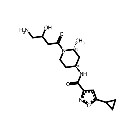 C[C@@H]1C[C@@H](NC(=O)c2cc(C3CC3)on2)CCN1C(=O)CC(O)CN